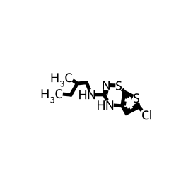 CCC(C)CNC1=NSc2sc(Cl)cc2N1